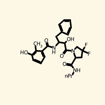 CCCNC(=O)C1CC(F)(F)CN1C(=O)C(O)C(Cc1ccccc1)NC(=O)c1cccc(O)c1C